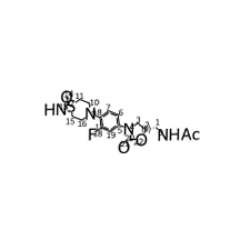 CC(=O)NC[C@H]1CN(c2ccc(N3CCS(=N)(=O)CC3)c(F)c2)C(=O)O1